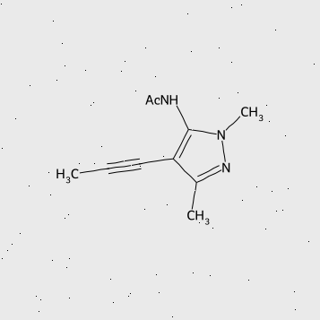 CC#Cc1c(C)nn(C)c1NC(C)=O